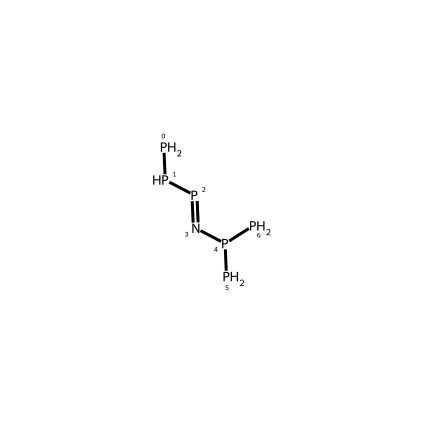 PP/P=N/P(P)P